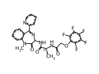 C[C@H](NC(=O)COc1c(F)c(F)c(F)c(F)c1F)C(=O)NC1N=C(c2ccccn2)c2ccccc2N(C)C1=O